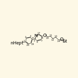 CCCCCCCc1ccc(-c2ccc(OCCCCCOCC)cn2)cc1